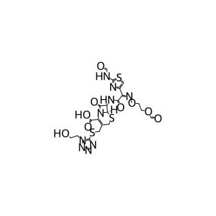 O=CNc1nc(/C(=N/OCCOC=O)C(=O)NC2C(=O)N3C(C(=O)O)=C(CSc4nnnn4CCO)CS[C@H]23)cs1